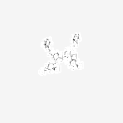 Clc1ccc(Cc2cc(CCCn3ccnc3)ccc2Sc2ccc(CCCn3ccnc3)cc2Cc2ccc(Cl)cc2Cl)c(Cl)c1